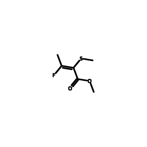 COC(=O)/C(SC)=C(/C)F